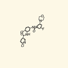 O=C(Nc1ccc(Cl)c(NC(=O)c2ccc(Cl)nc2)c1)c1cc(F)cc(N2CCOCC2)c1